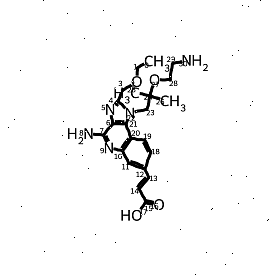 CCOCc1nc2c(N)nc3cc(C=CC(=O)O)ccc3c2n1CC(C)(C)OCCN